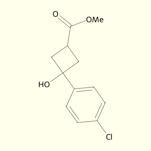 COC(=O)C1CC(O)(c2ccc(Cl)cc2)C1